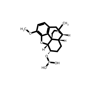 COc1ccc2c3c1O[C@H]1[C@@H](OP(O)O)CC[C@H]4[C@@H](C2)N(C)CC[C@@]341